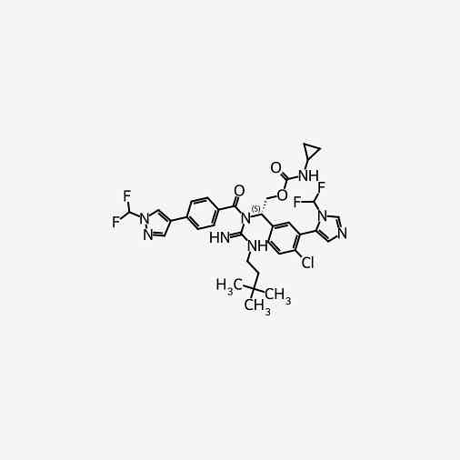 CC(C)(C)CCNC(=N)N(C(=O)c1ccc(-c2cnn(C(F)F)c2)cc1)[C@H](COC(=O)NC1CC1)c1ccc(Cl)c(-c2cncn2C(F)F)c1